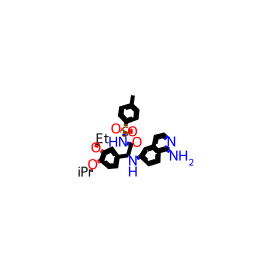 CCOc1cc(C(Nc2ccc3c(N)nccc3c2)C(=O)NS(=O)(=O)c2ccc(C)cc2)ccc1OC(C)C